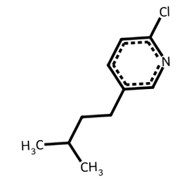 CC(C)CCc1ccc(Cl)nc1